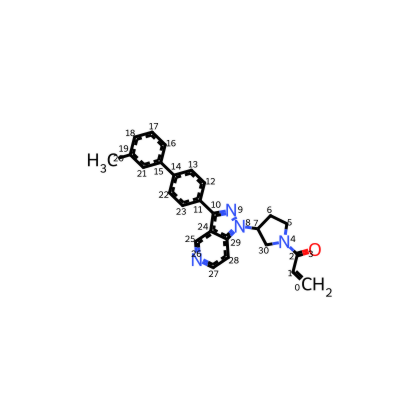 C=CC(=O)N1CCC(n2nc(-c3ccc(-c4cccc(C)c4)cc3)c3cnccc32)C1